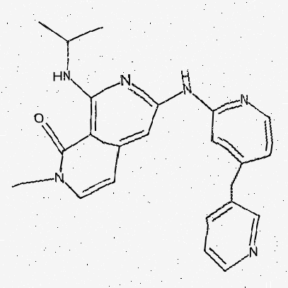 CC(C)Nc1nc(Nc2cc(-c3cccnc3)ccn2)cc2ccn(C)c(=O)c12